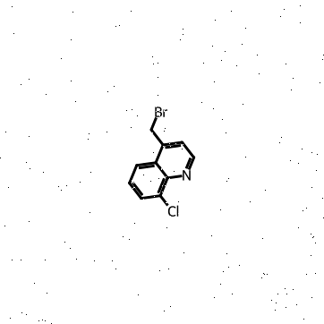 Clc1cccc2c(CBr)ccnc12